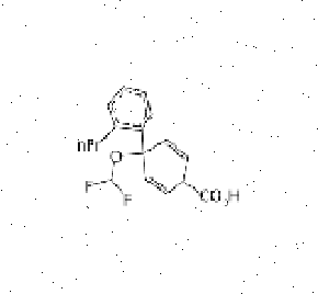 CCCc1ccccc1C1(OC(F)F)C=CC(C(=O)O)C=C1